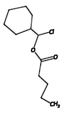 CCCCC(=O)OC(Cl)C1CCCCC1